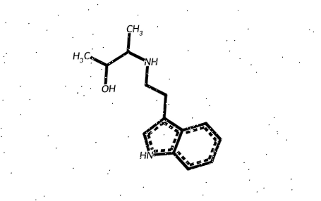 CC(O)C(C)NCCc1c[nH]c2ccccc12